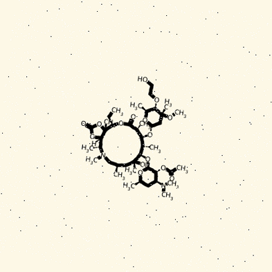 CC[C@H]1OC(=O)[C@H](C)[C@@H](O[C@H]2C[C@@](C)(OC)[C@@H](OCCO)[C@H](C)O2)[C@H](C)[C@@H](O[C@@H]2O[C@H](C)C[C@H](N(C)C)[C@H]2OC(C)=O)[C@](C)(O)C[C@@H](C)CN(C)[C@H](C)[C@H]2OC(=O)O[C@@]21C